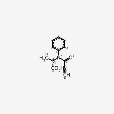 C#CC(=O)N(c1ccccc1)[C@@H](C)C(=O)O